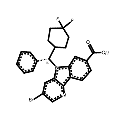 O=C(O)c1ccc2c3ncc(Br)cc3n([C@H](c3ccccc3)C3CCC(F)(F)CC3)c2c1